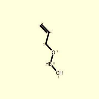 C=CCOBO